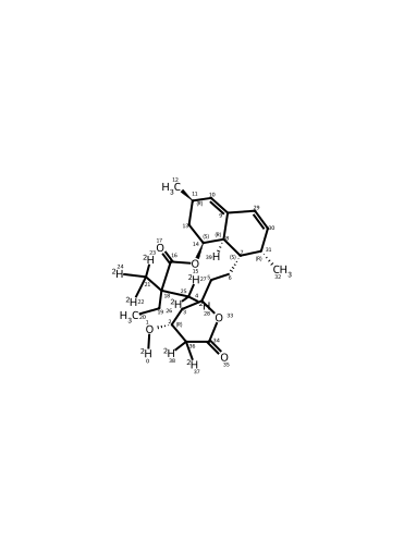 [2H]O[C@@H]1CC(CC[C@@H]2[C@@H]3C(=C[C@H](C)C[C@@H]3OC(=O)C(CC)(C([2H])([2H])[2H])C([2H])([2H])[2H])C=C[C@@H]2C)OC(=O)C1([2H])[2H]